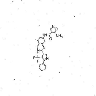 Cc1oncc1C(=O)Nc1ccc2cnc(-c3cnn(-c4ccccc4)c3C(F)(F)F)nc2c1